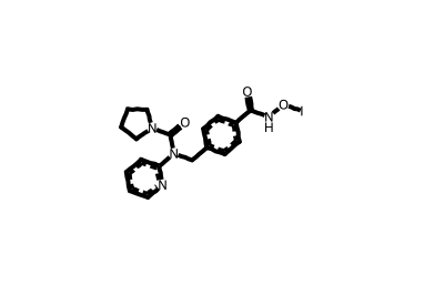 O=C(NOI)c1ccc(CN(C(=O)N2CCCC2)c2ccccn2)cc1